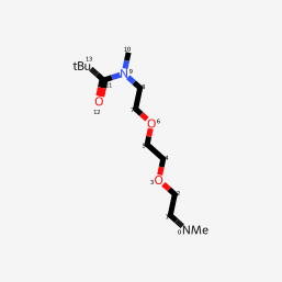 CNCCOCCOCCN(C)C(=O)C(C)(C)C